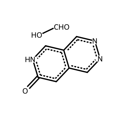 O=CO.O=c1cc2cnncc2c[nH]1